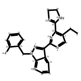 CCc1cnc(-c2nn(Cc3ccccc3F)c3ncccc23)nc1C1=NCCN1